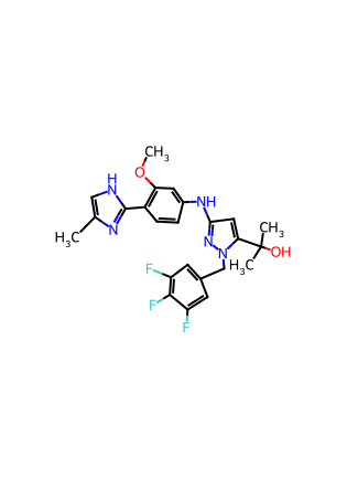 COc1cc(Nc2cc(C(C)(C)O)n(Cc3cc(F)c(F)c(F)c3)n2)ccc1-c1nc(C)c[nH]1